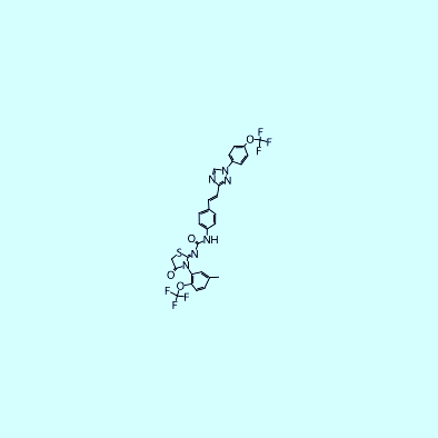 Cc1ccc(OC(F)(F)F)c(N2C(=O)CS/C2=N\C(=O)Nc2ccc(/C=C/c3ncn(-c4ccc(OC(F)(F)F)cc4)n3)cc2)c1